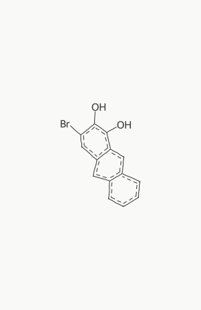 Oc1c(Br)cc2cc3ccccc3cc2c1O